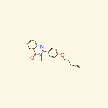 C#CCCCOc1ccc(-c2nc3ccccc3c(=O)[nH]2)cc1